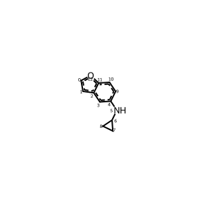 c1cc2cc(NC3CC3)ccc2o1